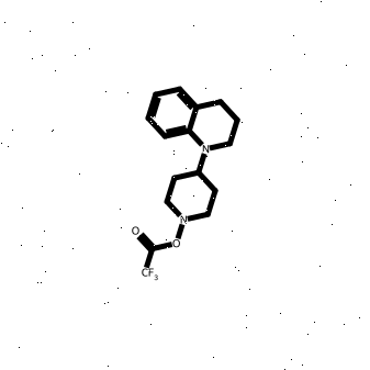 O=C(ON1CCC(N2CCCc3ccccc32)CC1)C(F)(F)F